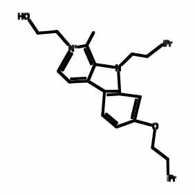 Cc1c2c(cc[n+]1CCO)c1ccc(OCCC(C)C)cc1n2CCC(C)C